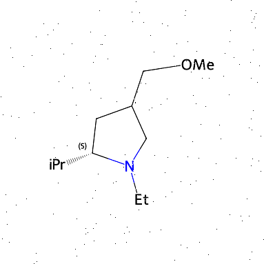 CCN1CC(COC)C[C@H]1C(C)C